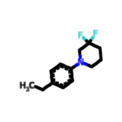 CCc1ccc(N2CCCC(F)(F)C2)cc1